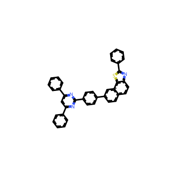 c1ccc(-c2cc(-c3ccccc3)nc(-c3ccc(-c4ccc5ccc6nc(-c7ccccc7)sc6c5c4)cc3)n2)cc1